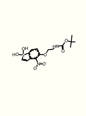 CC(C)(C)OC(=O)NCCOc1ccc2c(c1[N+](=O)[O-])C=CS2(O)O